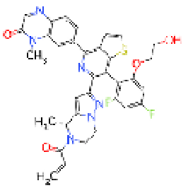 C=CC(=O)N1CCn2nc(-c3nc(-c4ccc5ncc(=O)n(C)c5c4)c4ccsc4c3-c3c(F)cc(F)cc3OCCO)cc2[C@H]1C